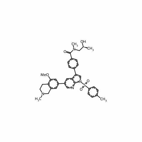 COc1cc(-c2cnc3c(c2)c(-c2ccc(C(=O)N(C)C[C@H](C)O)cc2)cn3S(=O)(=O)c2ccc(C)cc2)cc2c1CCN(C)C2